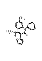 CNc1c(-c2nccs2)c(=O)n(-c2ccccc2)c2nc(C)ccc12